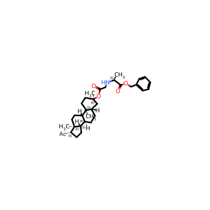 CC(=O)[C@H]1CC[C@H]2[C@@H]3CC[C@H]4C[C@](C)(OC(=O)CN[C@@H](C)C(=O)OCc5ccccc5)CC[C@]4(C)[C@H]3CC[C@]12C